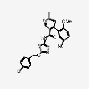 COc1ccc(C#N)cc1-c1cc(C)ncc1C(=O)Nc1nnc(OCc2ccc(Cl)cc2)s1